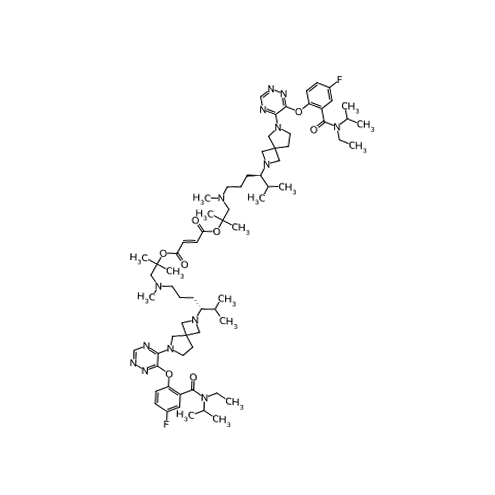 CCN(C(=O)c1cc(F)ccc1Oc1nncnc1N1CCC2(C1)CN([C@H](CCCN(C)CC(C)(C)OC(=O)/C=C/C(=O)OC(C)(C)CN(C)CCC[C@H](C(C)C)N1CC3(CCN(c4ncnnc4Oc4ccc(F)cc4C(=O)N(CC)C(C)C)C3)C1)C(C)C)C2)C(C)C